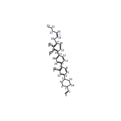 C=CC1CCC(c2ccc(-c3ccc(-c4ccc(C/C=C\CCC)c(F)c4F)cc3)c(F)c2)CC1